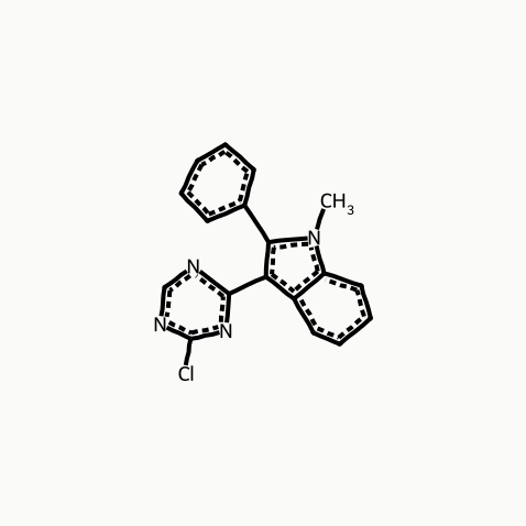 Cn1c(-c2ccccc2)c(-c2ncnc(Cl)n2)c2ccccc21